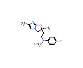 CC1(CCN(C(=O)O)c2ccc(Cl)cc2)Cn2cc([N+](=O)[O-])nc2O1